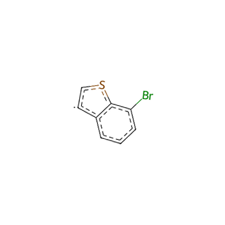 Brc1cccc2[c]csc12